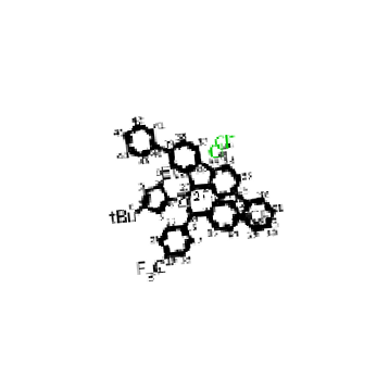 CCC1C=C(C(C)(C)C)C=[C]1[Zr+2](=[C](c1ccc(C(F)(F)F)cc1)c1ccc(C(F)(F)F)cc1)[CH]1c2cc(-c3ccccc3)ccc2-c2ccc(-c3ccccc3)cc21.[Cl-].[Cl-]